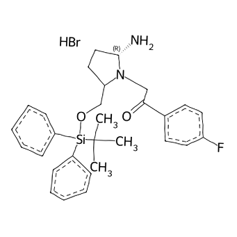 Br.CC(C)(C)[Si](OCC1CC[C@H](N)N1CC(=O)c1ccc(F)cc1)(c1ccccc1)c1ccccc1